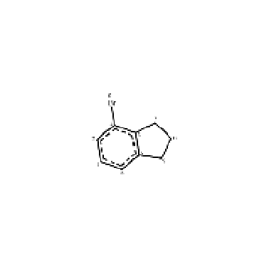 Brc1cccc2c1CC[CH]2